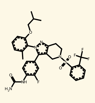 Cc1cccc(OCC(C)C)c1-n1nc2c(c1-c1ccc(NC(N)=O)c(F)c1)CN(S(=O)(=O)c1ccccc1C(F)(F)F)CC2